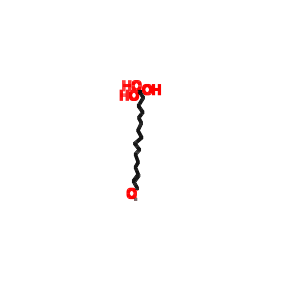 COCC=CCCCCCCCCCCCCC(O)(O)O